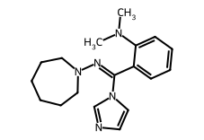 CN(C)c1ccccc1C(=NN1CCCCCC1)n1ccnc1